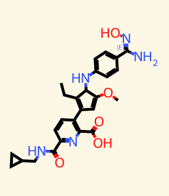 CCC1=C(c2ccc(C(=O)NCC3CC3)nc2C(=O)O)C=C(OC)C1Nc1ccc(/C(N)=N\O)cc1